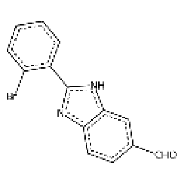 O=Cc1ccc2nc(-c3ccccc3Br)[nH]c2c1